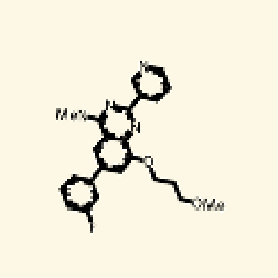 CNc1nc(-c2cccnc2)nc2c(OCCCOC)cc(-c3cccc(F)c3)cc12